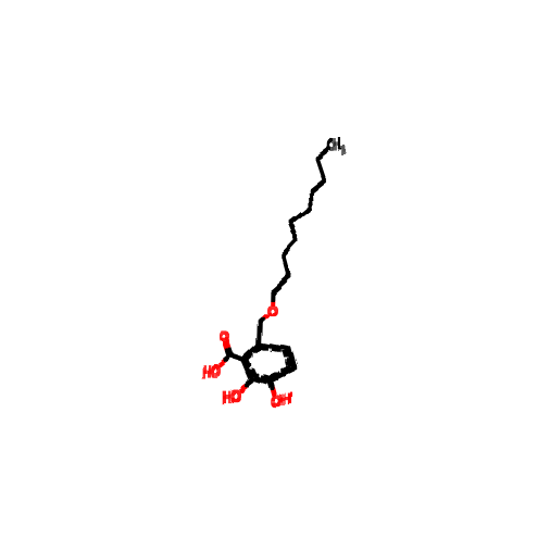 CCCCCCCCCCOCc1ccc(O)c(O)c1C(=O)O